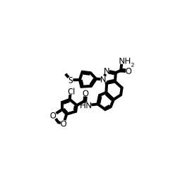 CSc1ccc(-n2nc(C(N)=O)c3c2-c2cc(NC(=O)c4cc5c(cc4Cl)OCO5)ccc2CC3)cc1